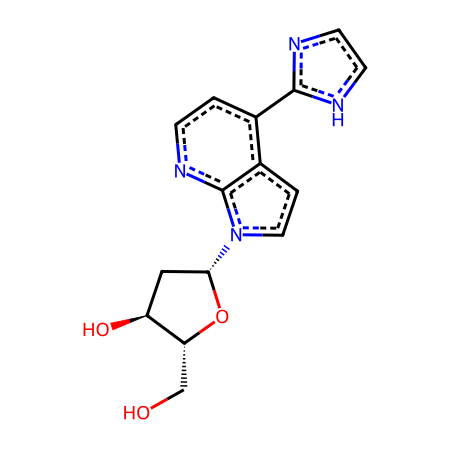 OC[C@H]1O[C@@H](n2ccc3c(-c4ncc[nH]4)ccnc32)C[C@@H]1O